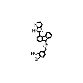 Oc1cc(CON=C2c3ccccc3-c3c2cccc3-c2nc3cccnc3[nH]2)ccc1Br